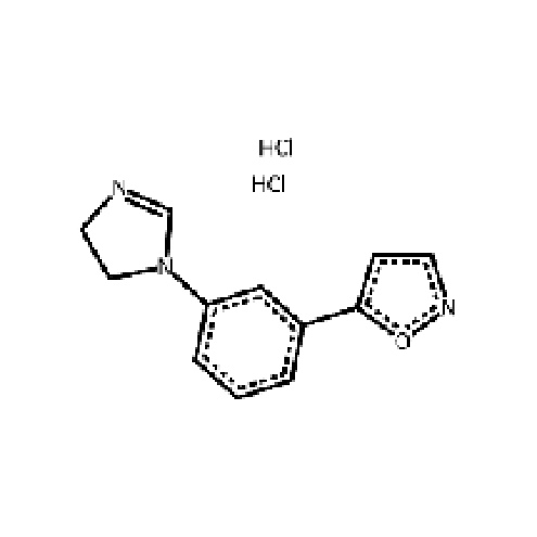 C1=NCCN1c1cccc(-c2ccno2)c1.Cl.Cl